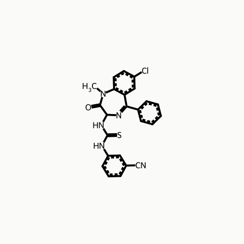 CN1C(=O)C(NC(=S)Nc2cccc(C#N)c2)N=C(c2ccccc2)c2cc(Cl)ccc21